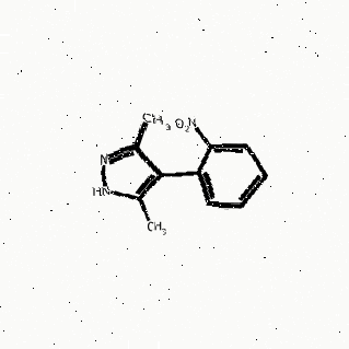 Cc1n[nH]c(C)c1-c1ccccc1[N+](=O)[O-]